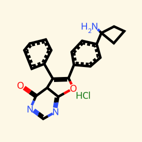 Cl.NC1(c2ccc(C3=C(c4ccccc4)C4C(=O)N=CN=C4O3)cc2)CCC1